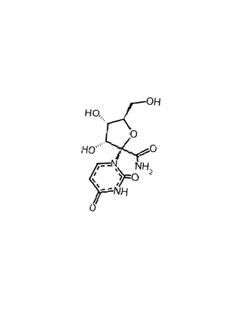 NC(=O)[C@@]1(n2ccc(=O)[nH]c2=O)O[C@H](CO)[C@@H](O)[C@H]1O